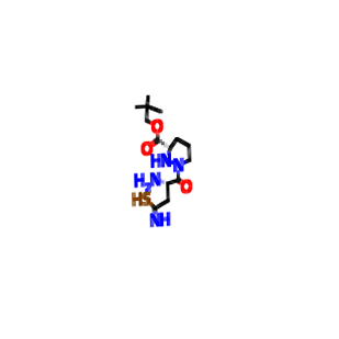 CC(C)(C)COC(=O)[C@@H]1CCCN(C(=O)[C@@H](N)CC(=N)S)N1